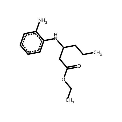 CCCC(CC(=O)OCC)Nc1ccccc1N